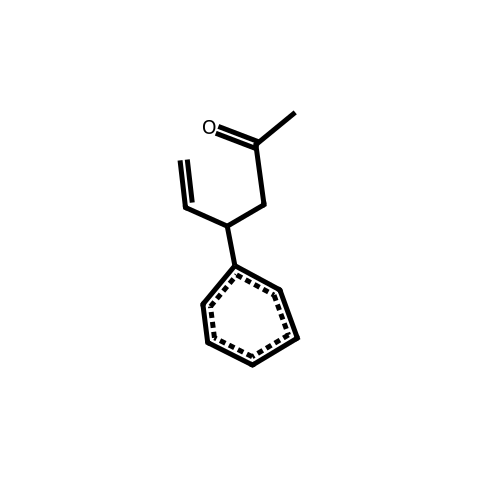 C=CC(CC(C)=O)c1ccccc1